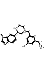 Cn1cnc2ccc([C@@H]3CN(Cc4cc(F)cc(OC(F)(F)F)c4)CCO3)cc21